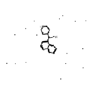 OC(c1cccc2ccccc12)C1CCNCC1